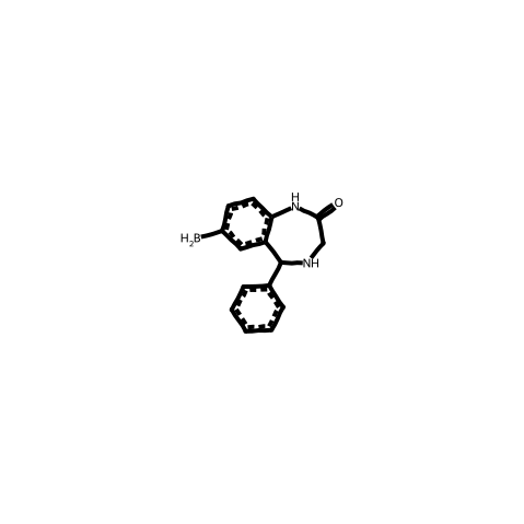 Bc1ccc2c(c1)C(c1ccccc1)NCC(=O)N2